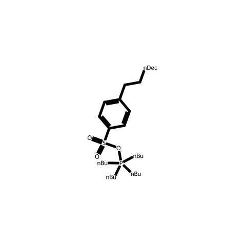 CCCCCCCCCCCCc1ccc(S(=O)(=O)OP(CCCC)(CCCC)(CCCC)CCCC)cc1